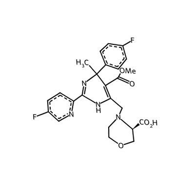 COC(=O)C1=C(CN2CCOC[C@@H]2C(=O)O)NC(c2ccc(F)cn2)=NC1(C)c1ccc(F)cc1